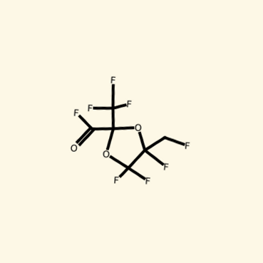 O=C(F)C1(C(F)(F)F)OC(F)(F)C(F)(CF)O1